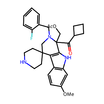 COc1ccc2c3c([nH]c2c1)C(COC(C)=O)(C(=O)C1CCC1)N(Cc1ccccc1F)CC31CCNCC1